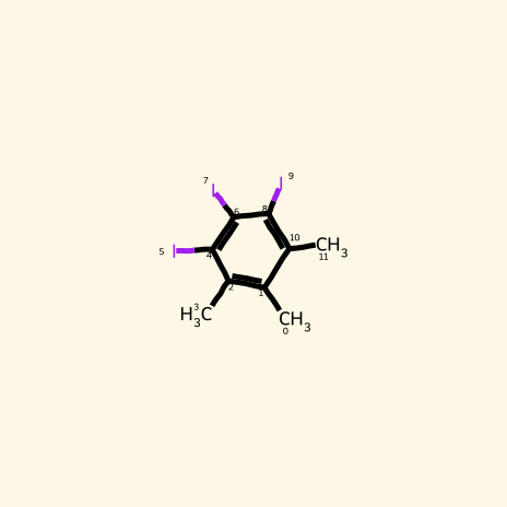 Cc1c(C)c(I)c(I)c(I)c1C